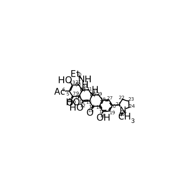 CCN[C@@H]1C(O)=C(C(C)=O)C(=O)[C@@]2(O)C(O)=C3C(=O)c4c(O)cc(C5CCCN5C)cc4C[C@H]3C[C@@H]12